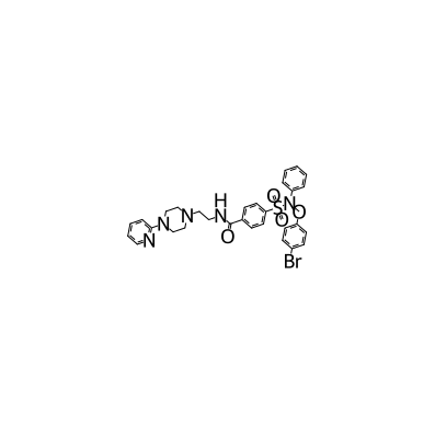 O=C(NCCN1CCN(c2ccccn2)CC1)c1ccc(S(=O)(=O)N(Oc2ccc(Br)cc2)c2ccccc2)cc1